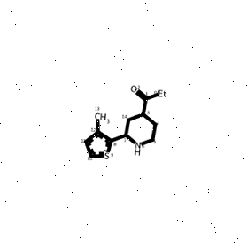 CCC(=O)C1CCNC(c2sccc2C)C1